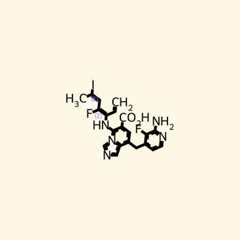 C=C/C(Nc1c(C(=O)O)cc(Cc2ccnc(N)c2F)c2cncn12)=C(F)\C=C(/C)I